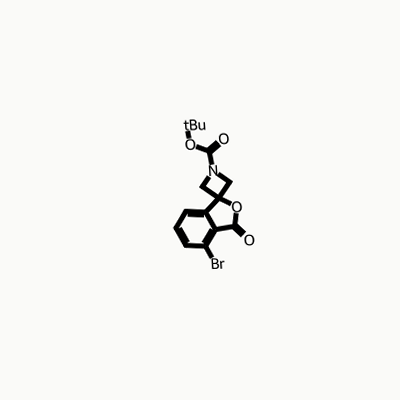 CC(C)(C)OC(=O)N1CC2(C1)OC(=O)c1c(Br)cccc12